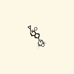 C[C@@H]1CN(c2ccc3c(=O)n(C4CC4)ccc3c2)C[C@H](C)O1